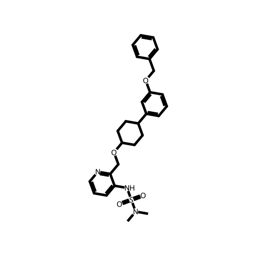 CN(C)S(=O)(=O)Nc1cccnc1COC1CCC(c2cccc(OCc3ccccc3)c2)CC1